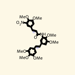 COc1cc(/C=C/c2cc(OC)c(OC)c(OC)c2)cc(NC(=O)/C=C/c2cc(OC)c(OC)c([N+](=O)[O-])c2)c1OC